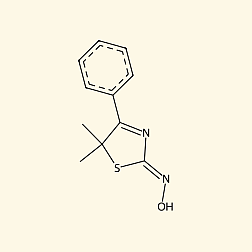 CC1(C)SC(=NO)N=C1c1ccccc1